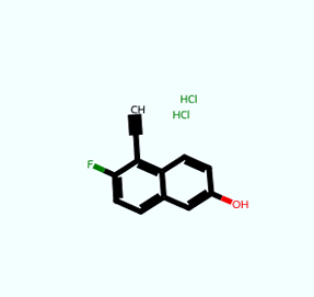 C#Cc1c(F)ccc2cc(O)ccc12.Cl.Cl